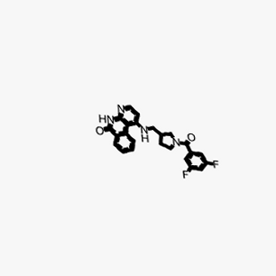 O=C(c1cc(F)cc(F)c1)N1CCC(CNc2ccnc3[nH]c(=O)c4ccccc4c23)C1